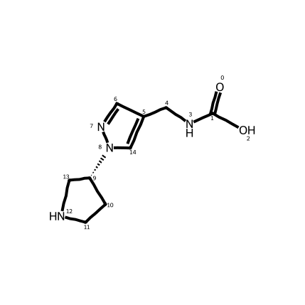 O=C(O)NCc1cnn([C@@H]2CCNC2)c1